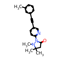 Cc1cccc(C#Cc2ccc(N3C(=O)CC(C)(C)N3C)nc2)c1